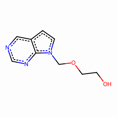 OCCOCn1ccc2cncnc21